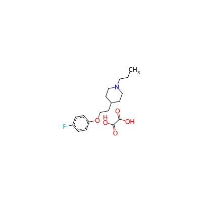 CCCN1CCC(CCOc2ccc(F)cc2)CC1.O=C(O)C(=O)O